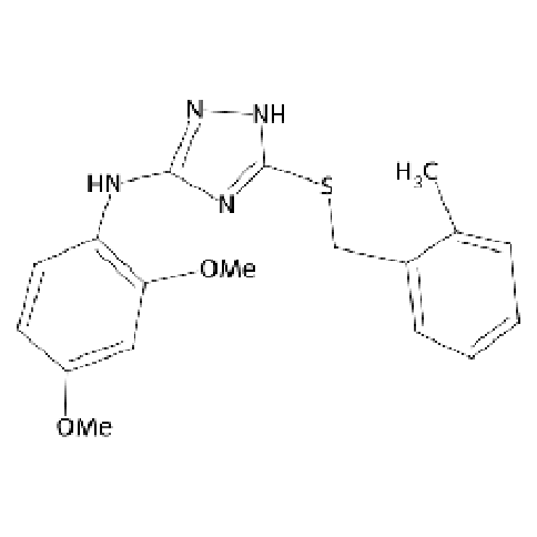 COc1ccc(Nc2n[nH]c(SCc3ccccc3C)n2)c(OC)c1